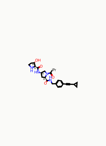 CC(C)C(=O)N1C[C@H](NC(=O)[C@H]2NCC[C@H]2O)C[C@@H]1C(=O)NCc1ccc(C#CC2CC2)cc1